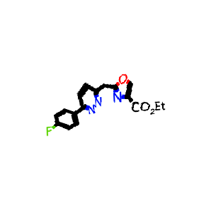 CCOC(=O)c1coc(Cc2ccc(-c3ccc(F)cc3)nn2)n1